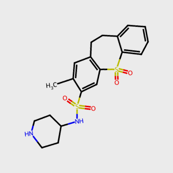 Cc1cc2c(cc1S(=O)(=O)NC1CCNCC1)S(=O)(=O)c1ccccc1CC2